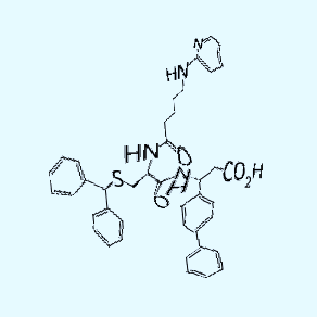 O=C(O)CC(NC(=O)[C@@H](CSC(c1ccccc1)c1ccccc1)NC(=O)CCCCNc1ccccn1)c1ccc(-c2ccccc2)cc1